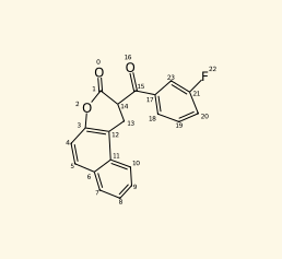 O=C1Oc2ccc3ccccc3c2CC1C(=O)c1cccc(F)c1